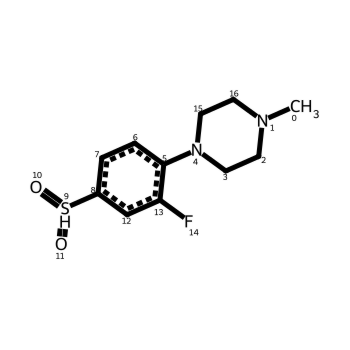 CN1CCN(c2ccc([SH](=O)=O)cc2F)CC1